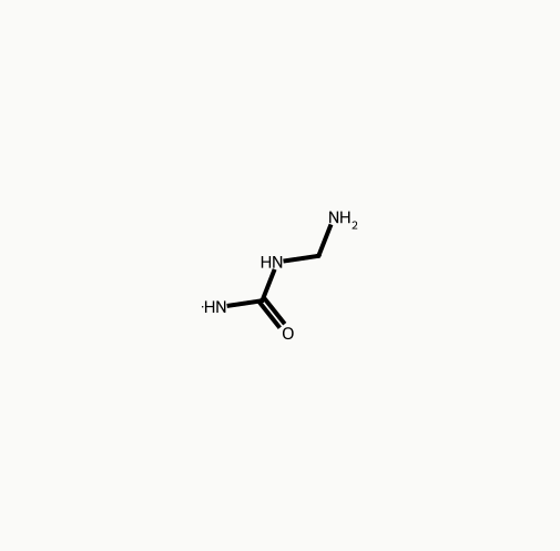 [NH]C(=O)NCN